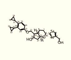 OCc1csc([C@H]2CC[C@@H]3C(COc4ccc(C5CC5)c(C5CC5)c4)[C@@H](O)C[C@@H]3O2)n1